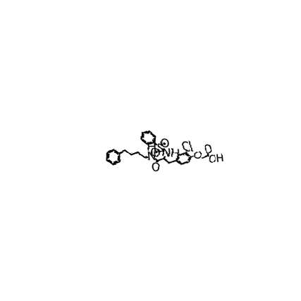 O=C(O)COc1ccc(CC(NS(=O)(=O)c2ccccc2)C(=O)NCCCCc2ccccc2)cc1Cl